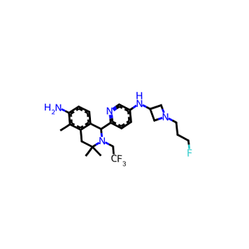 Cc1c(N)ccc2c1CC(C)(C)N(CC(F)(F)F)C2c1ccc(NC2CN(CCCF)C2)cn1